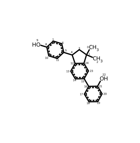 CC1(C)CC(c2ccc(O)cc2)c2ccc(-c3ccccc3O)cc21